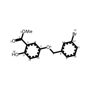 COC(=O)c1cc(OCc2cccc(Br)c2)ccc1O